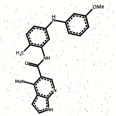 CNc1c(C(=O)Nc2cc(Nc3cccc(OC)c3)ccc2C)cnc2[nH]ccc12